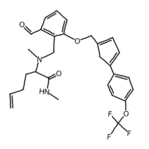 C=CCCC(C(=O)NC)N(C)Cc1c(C=O)cccc1OCC1=CC=C(c2ccc(OC(F)(F)F)cc2)C1